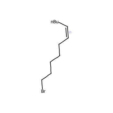 CCCC/C=C\CCCCCBr